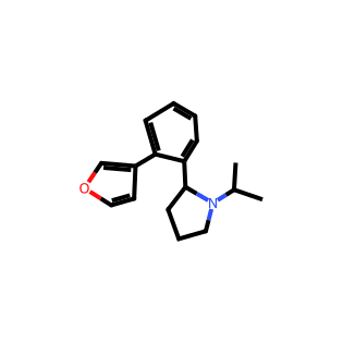 CC(C)N1CCCC1c1ccccc1-c1ccoc1